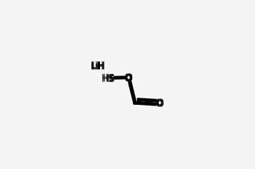 O=COS.[LiH]